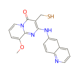 COc1cccn2c(=O)c(CS)c(Nc3ccc4ncccc4c3)nc12